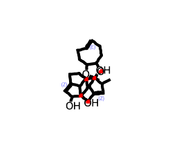 CC1/C=C(\CC2(C)OC3CC/C=C/CCC3O2)CCC(/C2=C\C(O)C(O)CCCC2)CC1O